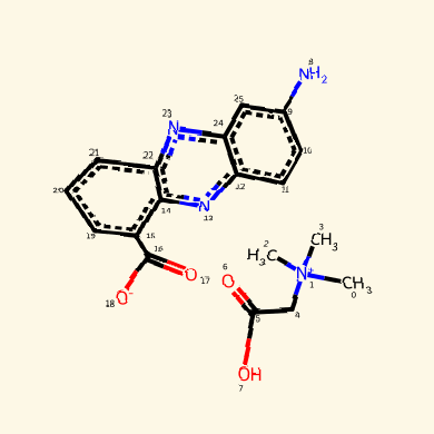 C[N+](C)(C)CC(=O)O.Nc1ccc2nc3c(C(=O)[O-])cccc3nc2c1